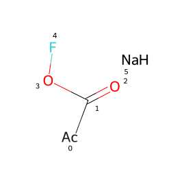 CC(=O)C(=O)OF.[NaH]